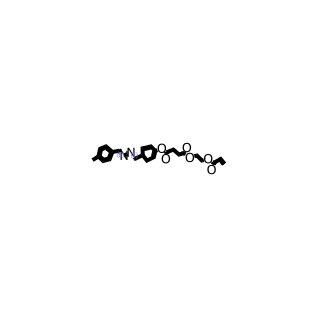 C=CC(=O)OCCOC(=O)CCC(=O)OC1=CCC(/C=N/N=C/c2ccc(C)cc2)C=C1